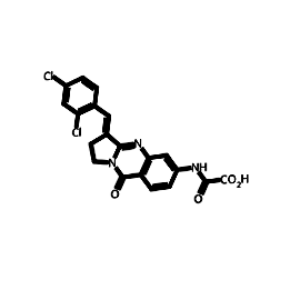 O=C(O)C(=O)Nc1ccc2c(=O)n3c(nc2c1)/C(=C/c1ccc(Cl)cc1Cl)CC3